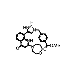 COC(=O)c1ccc(CN2C=C(c3cccc4c(=O)cc(N5CCCOCC5)[nH]c34)NN2)cc1